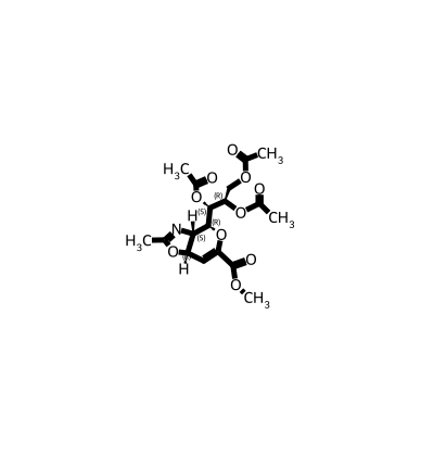 COC(=O)C1=C[C@H]2OC(C)=N[C@@H]2[C@H]([C@H](OC(C)=O)[C@@H](COC(C)=O)OC(C)=O)O1